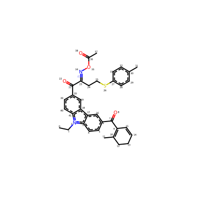 CCn1c2ccc(C(=O)C3=C(C)CCC=C3)cc2c2cc(C(=O)/C(CCSc3ccc(C)cc3)=N/OC(C)=O)ccc21